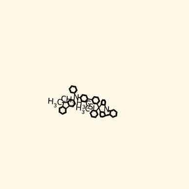 CC1(C)c2ccccc2-c2ccc(N(c3ccccc3)c3ccc(-c4cccc5c4[Si](C)(C)c4ccccc4C54c5ccccc5-n5c6ccccc6c6cccc4c65)cc3)cc21